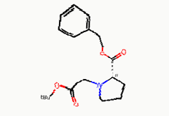 CC(C)(C)OC(=O)CN1CCC[C@H]1C(=O)OCc1ccccc1